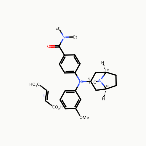 CCN(CC)C(=O)c1ccc(N(c2cccc(OC)c2)[C@H]2C[C@H]3CC[C@@H](C2)N3C)cc1.O=C(O)/C=C/C(=O)O